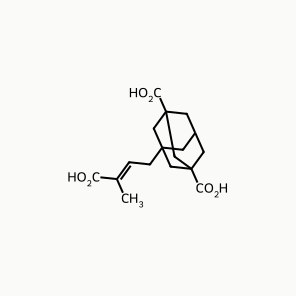 CC(=CCC12CC3CC(C(=O)O)(C1)CC(C(=O)O)(C3)C2)C(=O)O